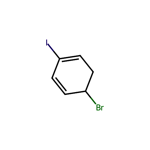 BrC1C=CC(I)=CC1